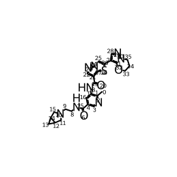 Cc1ncc(C(=O)NCCN2CC3CC3C2)cc1NC(=O)c1cnn2cc(-c3cnn4c3OCCC4)sc12